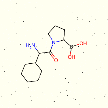 NC(C(=O)N1CCCC1B(O)O)C1CCCCC1